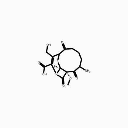 CO[C@@]12C(=O)C(N)CCCC(=O)C3S[C@@H]1N(C2=O)C(C(=O)O)=C3CO